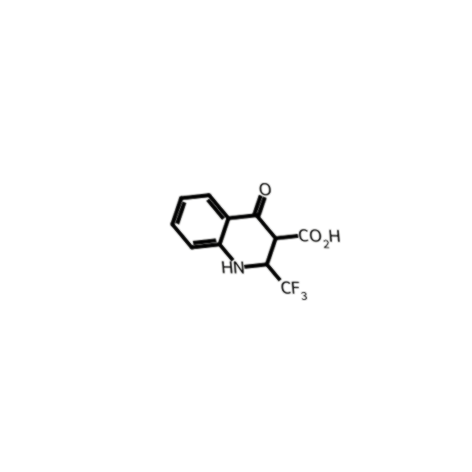 O=C(O)C1C(=O)c2ccccc2NC1C(F)(F)F